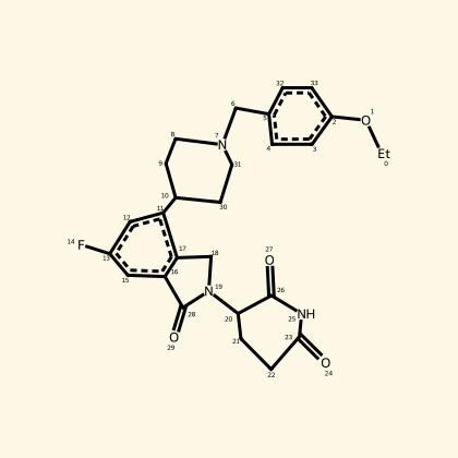 CCOc1ccc(CN2CCC(c3cc(F)cc4c3CN(C3CCC(=O)NC3=O)C4=O)CC2)cc1